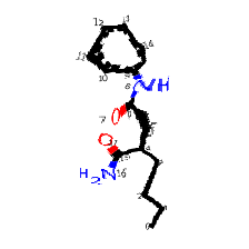 CCCCC(CC(=O)Nc1ccccc1)C(N)=O